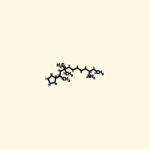 CCC(N)CCCCCC(C)(C)CC(C)C1CCCC1